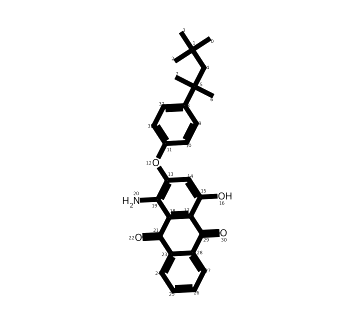 CC(C)(C)CC(C)(C)c1ccc(Oc2cc(O)c3c(c2N)C(=O)c2ccccc2C3=O)cc1